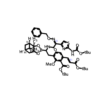 COc1c(CC(NC(=O)/C(=N\OCc2ccccc2)c2csc(NC(=O)OC(C)(C)C)n2)B2OC3C[C@H]4C[C@@H](C4(C)C)[C@]3(C)O2)ccc(/C=C/C(=O)OC(C)(C)C)c1C(=O)OC(C)(C)C